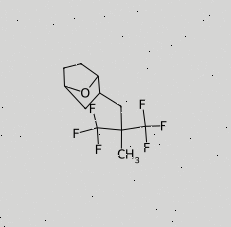 CC(CC1CC2CCC1O2)(C(F)(F)F)C(F)(F)F